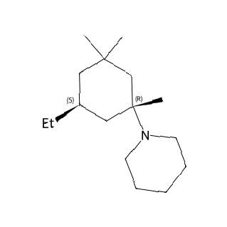 CC[C@H]1CC(C)(C)C[C@](C)(N2CCCCC2)C1